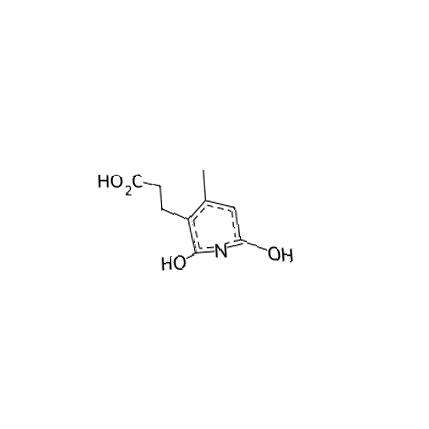 Cc1cc(O)nc(O)c1CCC(=O)O